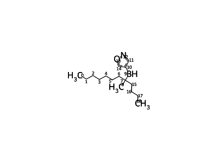 CCCCCCCC(C)(Bc1cnoc1)CCCC